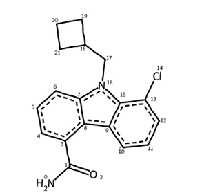 NC(=O)c1cccc2c1c1[c]ccc(Cl)c1n2CC1CCC1